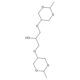 CC1OCC(OCC(O)COC2COC(C)OC2)CO1